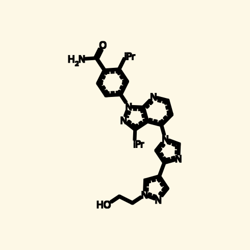 CC(C)c1cc(-n2nc(C(C)C)c3c(-n4cnc(-c5cnn(CCO)c5)c4)ccnc32)ccc1C(N)=O